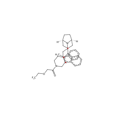 Cc1nc2ccccc2n1C1C[C@H]2CC[C@@H](C1)N2CCC1(c2ccccc2)CCN(C(=O)COCC(F)(F)F)CC1